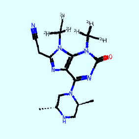 [2H]C([2H])([2H])n1c(CC#N)nc2c(N3C[C@@H](C)NC[C@@H]3C)nc(=O)n(C([2H])([2H])[2H])c21